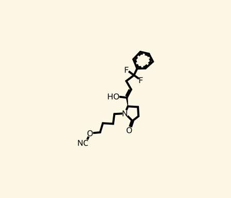 N#COCCCCN1C(=O)CC[C@@H]1C(O)=CCC(F)(F)c1ccccc1